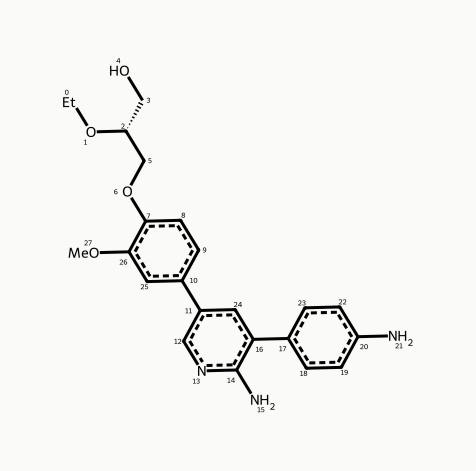 CCO[C@H](CO)COc1ccc(-c2cnc(N)c(-c3ccc(N)cc3)c2)cc1OC